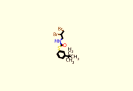 CC(C)(C)c1cccc(SC(=O)NCC(Br)CBr)c1